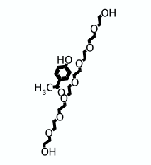 CC(=O)c1ccc(O)cc1.OCCOCCOCCOCCOCCOCCOCCOCCO